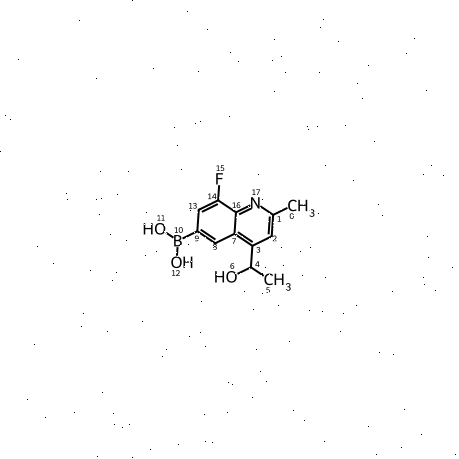 Cc1cc(C(C)O)c2cc(B(O)O)cc(F)c2n1